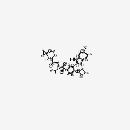 CCN(CC(=O)N1CCOC2(CC2)C1)S(=O)(=O)c1ccc(N2CCC2)c(-c2cc3ccc(C)cc3[nH]2)c1